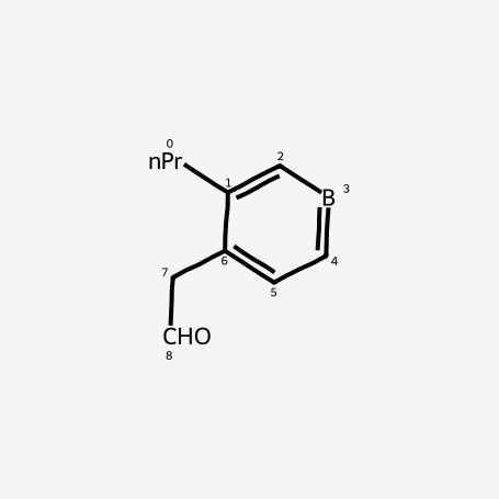 CCCc1cbccc1CC=O